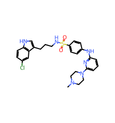 CN1CCN(c2cccc(Nc3ccc(S(=O)(=O)NCCCc4c[nH]c5ccc(Cl)cc45)cc3)n2)CC1